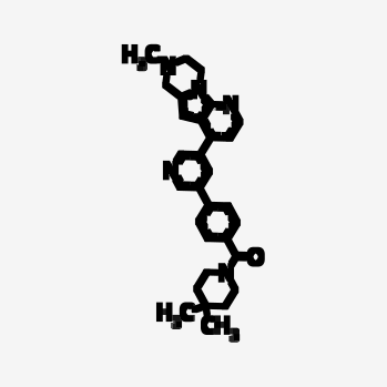 CN1CCn2c(cc3c(-c4cncc(-c5ccc(C(=O)N6CCC(C)(C)CC6)cc5)c4)ccnc32)C1